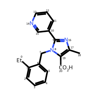 CCc1ccccc1Cn1c(-c2cccnc2)nc(C)c1C(=O)O